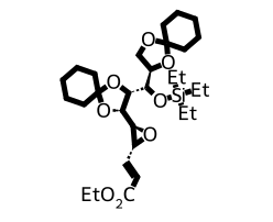 CCOC(=O)/C=C/[C@H]1O[C@@H]1[C@@H]1OC2(CCCCC2)O[C@@H]1C(O[Si](CC)(CC)CC)[C@H]1COC2(CCCCC2)O1